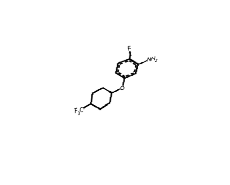 Nc1cc(OC2CCC(C(F)(F)F)CC2)ccc1F